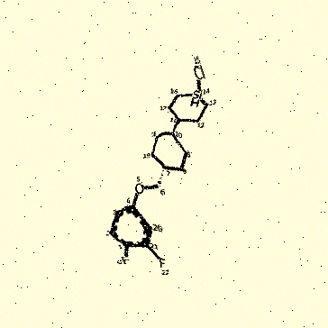 Fc1ccc(OC[C@H]2CC[C@H](C3CC[SiH](Cl)CC3)CC2)cc1F